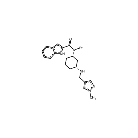 CCN(C(=O)c1cc2ccccc2[nH]1)[C@H]1CCC[C@@H](NCc2cnn(C)c2)C1